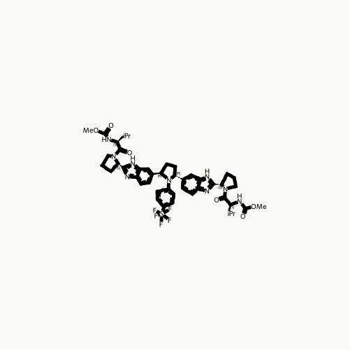 COC(=O)N[C@H](C(=O)N1CCC[C@H]1c1nc2ccc([C@H]3CC[C@H](c4ccc5nc([C@@H]6CCCN6C(=O)[C@@H](NC(=O)OC)C(C)C)[nH]c5c4)N3c3ccc(S(F)(F)(F)(F)F)cc3)cc2[nH]1)C(C)C